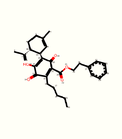 C=C(C)[C@@H]1CCC(C)=C[C@H]1C1=C(O)C(=O)C(CCCCC)=C(C(=O)OCCc2ccccc2)C1=O